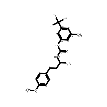 COc1ccc(CCC(C)NC(=O)Nc2cc(C)cc(C(F)(F)F)c2)cc1